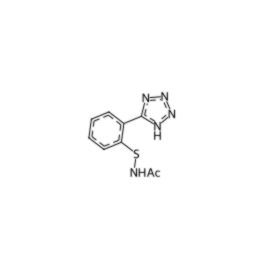 CC(=O)NSc1ccccc1-c1nnn[nH]1